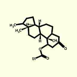 CCC(=O)OC1CC(=O)CC2CC[C@@H]3[C@@H](CC[C@]4(C)C(C)CC[C@@H]34)[C@]21C